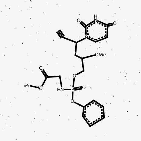 C#CC(CC(COP(=O)(NCC(=O)OC(C)C)Oc1ccccc1)OC)n1ccc(=O)[nH]c1=O